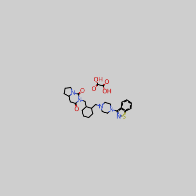 O=C(O)C(=O)O.O=C1CC2CCCN2C(=O)N1CC1CCCCC1CN1CCN(c2nsc3ccccc23)CC1